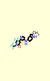 Cc1cc2cc(Nc3ccnc4cc(C(=O)N(CC(F)(F)F)CC(F)(F)F)sc34)ccc2[nH]1